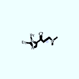 CCc1ncc(C(=O)/C=C/N(C)C)n1C(C)C